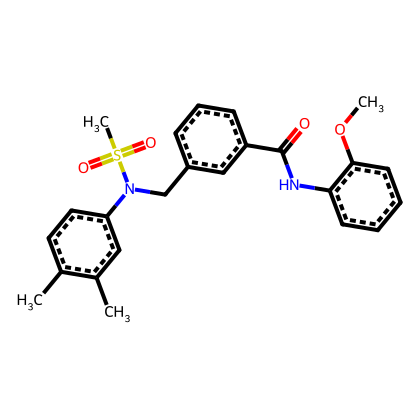 COc1ccccc1NC(=O)c1cccc(CN(c2ccc(C)c(C)c2)S(C)(=O)=O)c1